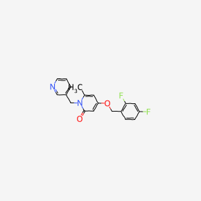 Cc1cc(OCc2ccc(F)cc2F)cc(=O)n1Cc1cccnc1